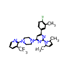 Cc1cc(-c2cc(N3CCN(c4ncccc4C(F)(F)F)CC3)nc(N3C(C)C=CC3C)n2)ccc1F